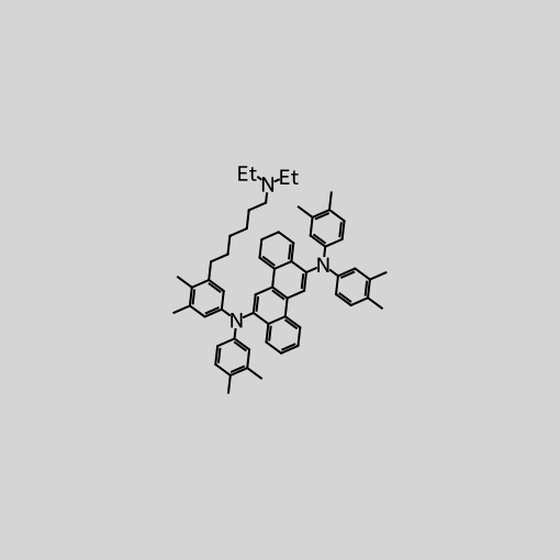 CCN(CC)CCCCCCc1cc(N(c2ccc(C)c(C)c2)c2cc3c4c(c(N(c5ccc(C)c(C)c5)c5ccc(C)c(C)c5)cc3c3ccccc23)=CCCC=4)cc(C)c1C